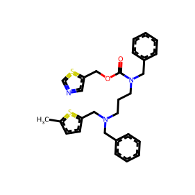 Cc1ccc(CN(CCCN(Cc2ccccc2)C(=O)OCc2cncs2)Cc2ccccc2)s1